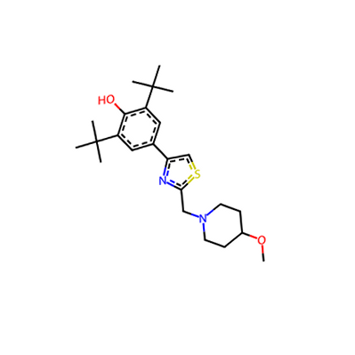 COC1CCN(Cc2nc(-c3cc(C(C)(C)C)c(O)c(C(C)(C)C)c3)cs2)CC1